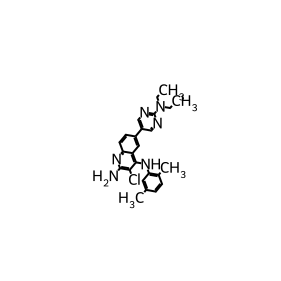 CCN(CC)c1ncc(-c2ccc3nc(N)c(Cl)c(Nc4cc(C)ccc4C)c3c2)cn1